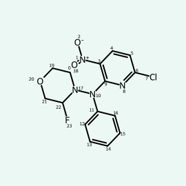 O=[N+]([O-])c1ccc(Cl)nc1N(c1ccccc1)N1CCOCC1F